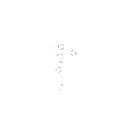 CCCNc1nc(N(Cc2ccc(OC)cc2)Cc2ccc(OC)cc2)c2ncc(C(O)c3cnc(N4CCN(C(=O)OC(C)(C)C)CC4)c(C)c3)n2n1